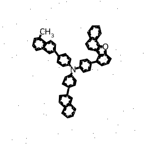 Cc1cccc2cc(-c3ccc(N(c4ccc(-c5ccc6ccccc6c5)cc4)c4ccc(-c5cccc6oc7c8ccccc8ccc7c56)cc4)cc3)ccc12